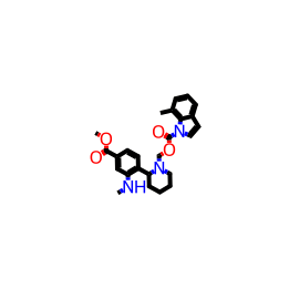 CNc1cc(C(=O)OC)ccc1C1CCCCN1COC(=O)n1ccc2cccc(C)c21